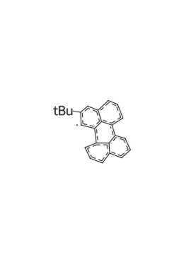 CC(C)(C)c1[c]c2c3cccc4cccc(c5cccc(c1)c25)c43